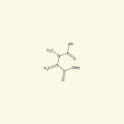 C=C(C(=O)OC)N(C)C(=O)CCC